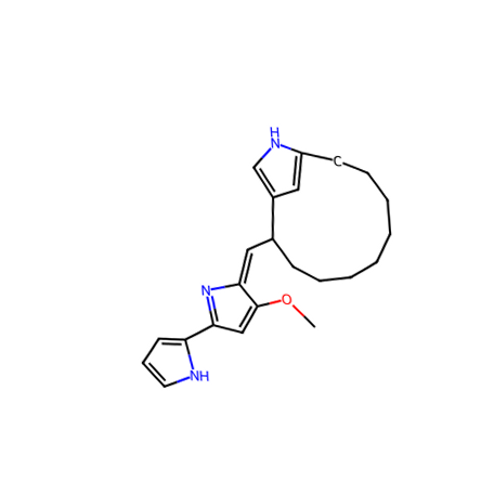 COC1=CC(c2ccc[nH]2)=NC1=CC1CCCCCCCCc2cc1c[nH]2